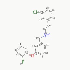 Fc1ccccc1Oc1cccc(CNCCc2cccc(Cl)c2)c1